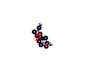 C[Si](C)(C)c1ccc(N(c2ccc3c(c2)C2(c4ccccc4Oc4ccccc42)c2cc(N(c4ccc([Si](C)(C)C)cc4)c4ccccc4-c4ccccc4)c4ccccc4c2-3)c2ccccc2-c2ccccc2)cc1